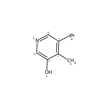 Cc1c(O)cncc1C(C)C